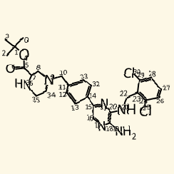 CC(C)(C)OC(=O)C1CN(Cc2ccc(-c3cnc(N)c(NCc4c(Cl)cccc4Cl)n3)cc2)CCN1